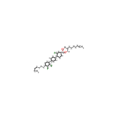 C/C=C\CCCc1ccc(-c2ccc(-c3ccc(C4OCC(CCCCCC)CO4)cc3F)cc2)c(F)c1F